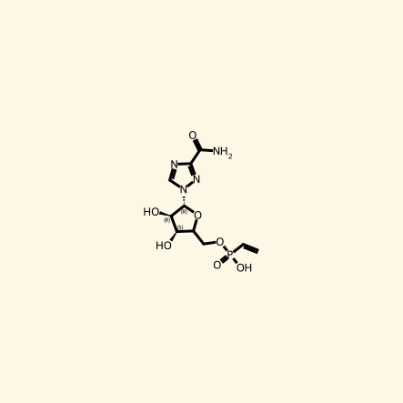 C=CP(=O)(O)OCC1O[C@@H](n2cnc(C(N)=O)n2)[C@H](O)[C@@H]1O